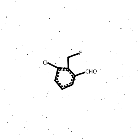 O=Cc1cccc(Cl)c1CF